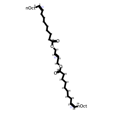 CCCCCCCC/C=C\CCCCCCCC(=O)OC/C=C/COC(=O)CCCCCCC/C=C\CCCCCCCC